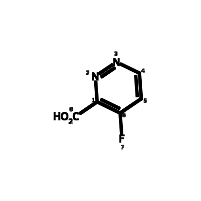 O=C(O)c1nnccc1F